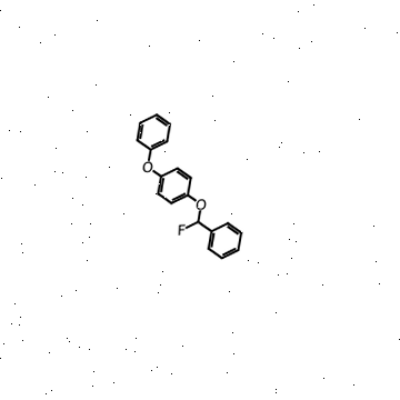 FC(Oc1ccc(Oc2ccccc2)cc1)c1ccccc1